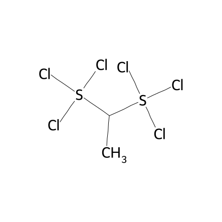 CC(S(Cl)(Cl)Cl)S(Cl)(Cl)Cl